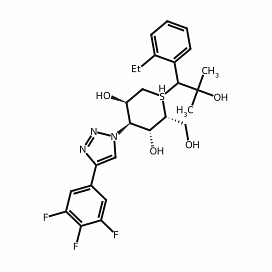 CCc1ccccc1C([SH]1C[C@H](O)[C@H](n2cc(-c3cc(F)c(F)c(F)c3)nn2)[C@@H](O)[C@H]1CO)C(C)(C)O